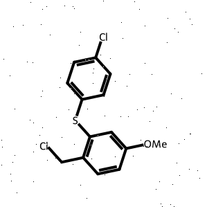 COc1ccc(CCl)c(Sc2ccc(Cl)cc2)c1